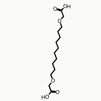 O=C(O)COCCCCCCCCCCOCC(=O)O